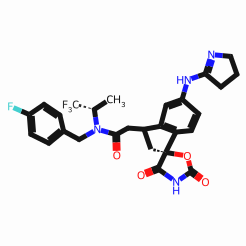 C[C@H](N(Cc1ccc(F)cc1)C(=O)CC1C[C@@]2(OC(=O)NC2=O)c2ccc(NC3=NCCC3)cc21)C(F)(F)F